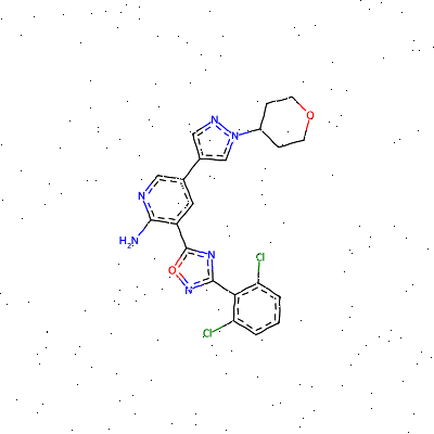 Nc1ncc(-c2cnn(C3CCOCC3)c2)cc1-c1nc(-c2c(Cl)cccc2Cl)no1